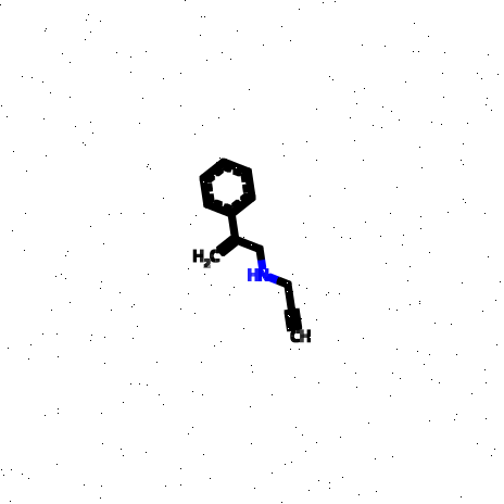 C#CCNCC(=C)c1ccccc1